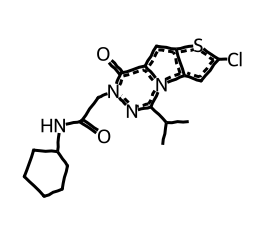 CC(C)c1nn(CC(=O)NC2CCCCC2)c(=O)c2cc3sc(Cl)cc3n12